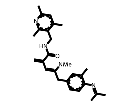 C=C(/C=C(/Cc1ccc(N=C(C)C)c(C)c1)NC)C(=O)NCc1c(C)cc(C)nc1C